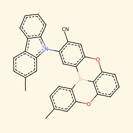 Cc1ccc2c(c1)Oc1cccc3c1B2c1cc(-n2c4ccccc4c4ccc(C)cc42)c(C#N)cc1O3